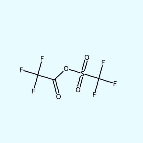 O=C(OS(=O)(=O)C(F)(F)F)C(F)(F)F